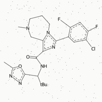 Cc1nnc(C(NC(=O)c2nc(-c3cc(Cl)c(F)cc3F)n3c2CN(C)CCC3)C(C)(C)C)o1